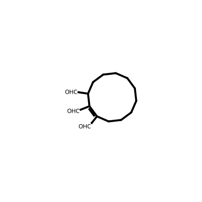 O=CC1=C(C=O)C(C=O)CCCCCCCCC1